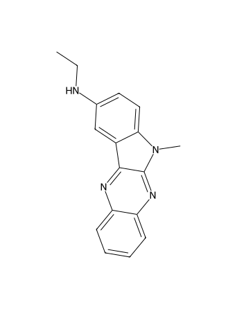 CCNc1ccc2c(c1)c1nc3ccccc3nc1n2C